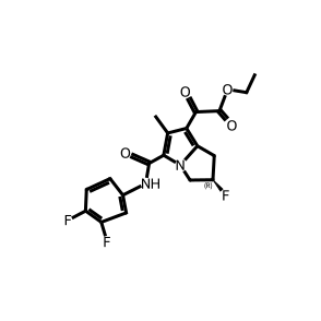 CCOC(=O)C(=O)c1c(C)c(C(=O)Nc2ccc(F)c(F)c2)n2c1C[C@@H](F)C2